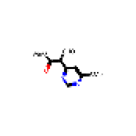 COC(=O)C(C=O)c1cc(SC)ncn1